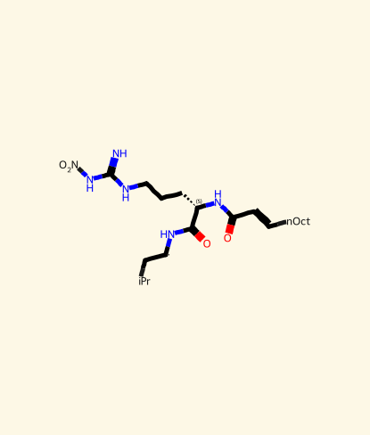 CCCCCCCCC=CC(=O)N[C@@H](CCCNC(=N)N[N+](=O)[O-])C(=O)N[CH]CC(C)C